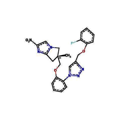 C[C@@]1(COc2ccccc2-n2cc(COc3ccccc3F)nn2)Cc2nc([N+](=O)[O-])cn2C1